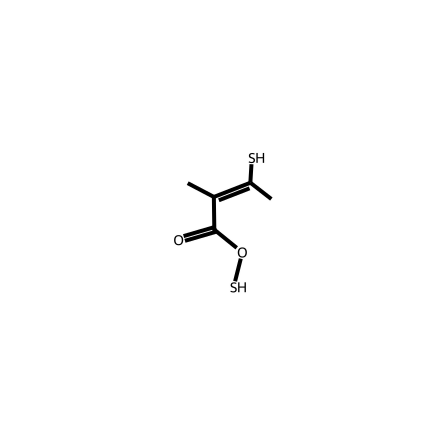 C/C(S)=C(/C)C(=O)OS